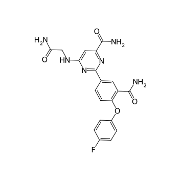 NC(=O)CNc1cc(C(N)=O)nc(-c2ccc(Oc3ccc(F)cc3)c(C(N)=O)c2)n1